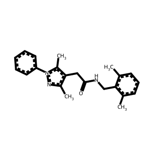 Cc1cccc(C)c1CNC(=O)Cc1c(C)nn(-c2ccccc2)c1C